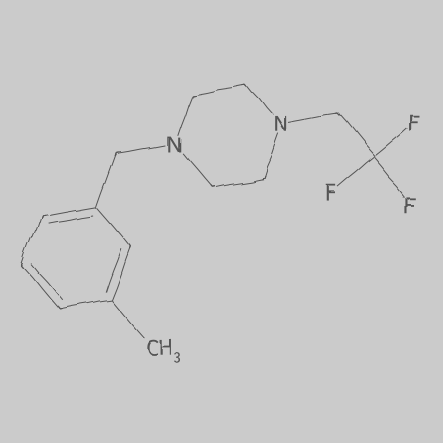 Cc1cccc(CN2CCN(CC(F)(F)F)CC2)c1